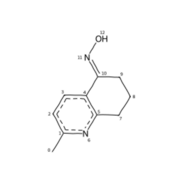 Cc1ccc2c(n1)CCCC2=NO